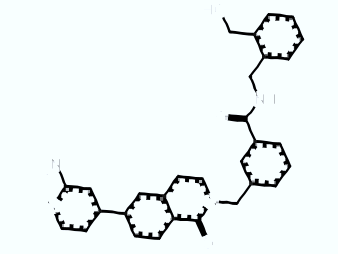 Nc1cc(-c2ccc3c(=O)n(Cc4cccc(C(=O)NCc5ccccc5CO)c4)ccc3c2)ccn1